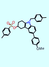 COc1ccc(-c2ccc3c(c2)c2c(n3Cc3ccc(C)cc3)CCC(OS(=O)(=O)c3ccc(C)cc3)C2)cc1